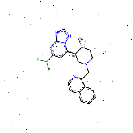 C[C@@H]1CCN(Cc2nccc3ccccc23)C[C@H]1c1cc(C(F)F)nc2ncnn12